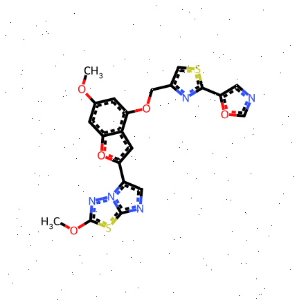 COc1cc(OCc2csc(-c3cnco3)n2)c2cc(-c3cnc4sc(OC)nn34)oc2c1